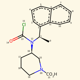 C[C@H](c1cccc2ccccc12)N(C(=O)Cl)[C@@H]1CCCN(C(=O)O)C1